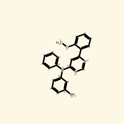 COc1ccccc1-c1cc(N(c2ccccc2)c2cccc(N)c2)ncn1